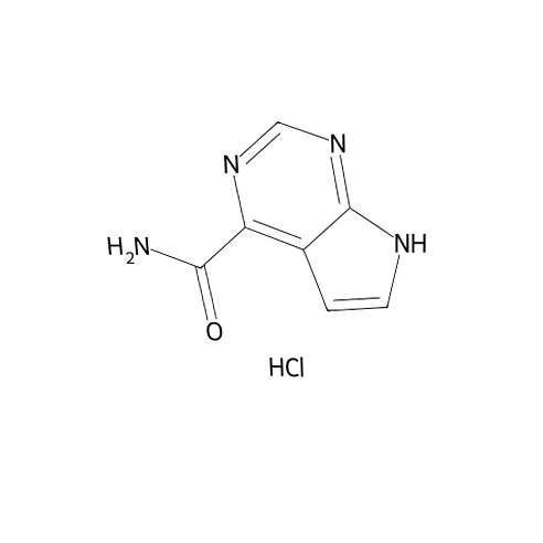 Cl.NC(=O)c1ncnc2[nH]ccc12